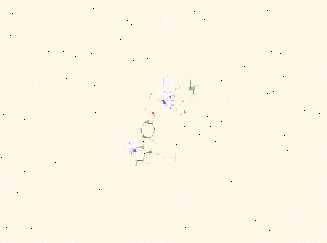 O=C(CN1C(=O)NC2(CCC(F)(F)CC2)C1=O)c1ccc(-c2ncccc2CO)cc1